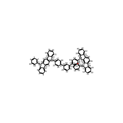 c1ccc(-n2c3ccccc3c3cc4c(cc32)c2ccccc2n4-c2ccc(-c3cccc(-c4ccc(-n5c6ccccc6c6ccc7c8ccccc8n(-c8ccccc8)c7c65)cc4)c3)cc2)cc1